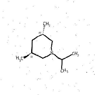 CC(C)N1C[C@@H](C)C[C@H](C)C1